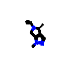 C[C@@H]1c2cnn(C)c2CN1C(C)(C)C